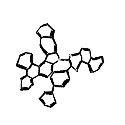 c1ccc(-c2ccc(-c3nc4c(ccc5ccccc54)nc3-n3c4cc5ccccc5cc4c4c5c6ccccc6c6ccccc6c5ccc43)cc2)cc1